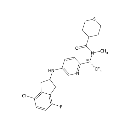 CN(C(=O)C1CCSCC1)[C@@H](c1ccc(NC2Cc3c(F)ccc(Cl)c3C2)cn1)C(F)(F)F